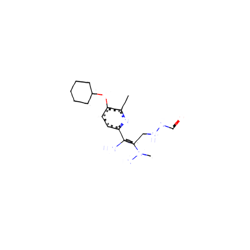 Cc1nc(/C(N)=C(\CNNC=O)N(C)N)ccc1OC1CCCCC1